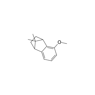 COc1cccc2c1C1CCC2C1(C)C